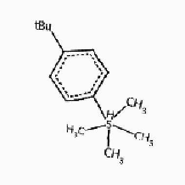 CC(C)(C)c1ccc([SH](C)(C)(C)C)cc1